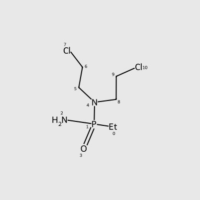 CCP(N)(=O)N(CCCl)CCCl